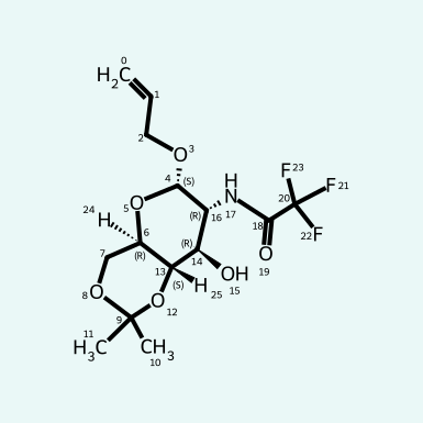 C=CCO[C@H]1O[C@@H]2COC(C)(C)O[C@H]2[C@H](O)[C@H]1NC(=O)C(F)(F)F